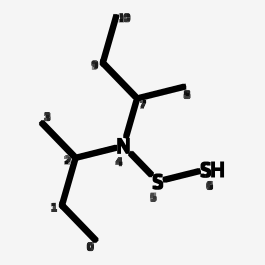 CCC(C)N(SS)C(C)CC